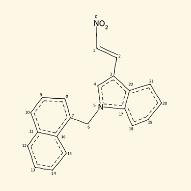 O=[N+]([O-])C=Cc1cn(Cc2cccc3ccccc23)c2ccccc12